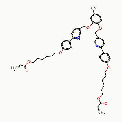 C=CC(=O)OCCCCCCOc1ccc(-c2ccc(COc3ccc(C#N)cc3OCc3ccc(-c4ccc(OCCCCCCOC(=O)C=C)cc4)nc3)cn2)cc1